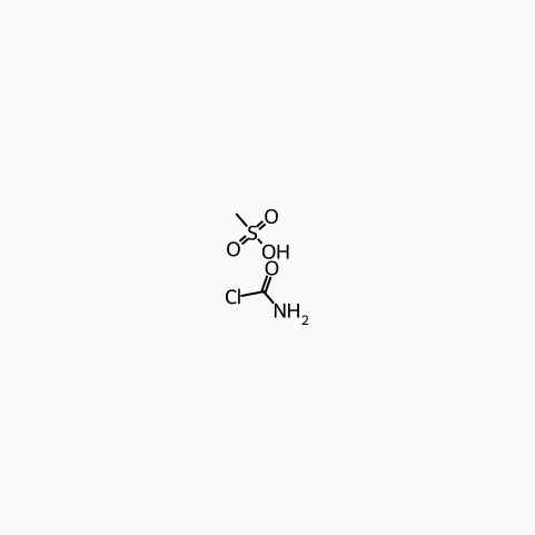 CS(=O)(=O)O.NC(=O)Cl